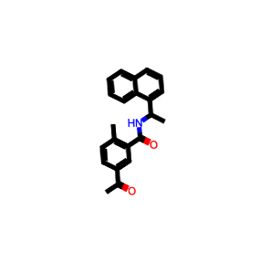 CC(=O)c1ccc(C)c(C(=O)NC(C)c2cccc3ccccc23)c1